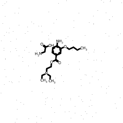 CCCCOc1cc(C(=O)OCCN(CC)CC)ccc1N.NCC(=O)O